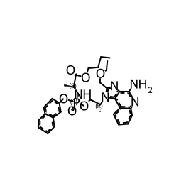 CCCCOC(=O)[C@H](C)N[P@](=O)(OC[C@@H](C)n1c(COCC)nc2c(N)nc3ccccc3c21)Oc1ccc2ccccc2c1